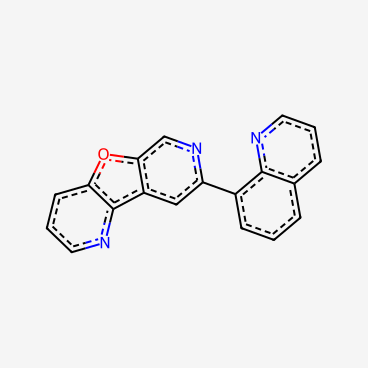 c1cnc2c(-c3cc4c(cn3)oc3cccnc34)cccc2c1